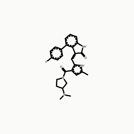 Cc1cc(C(=O)N2CCC(N(C)C)C2)c(C=C2C(=O)Nc3cccc(-c4ccc(F)cc4)c32)[nH]1